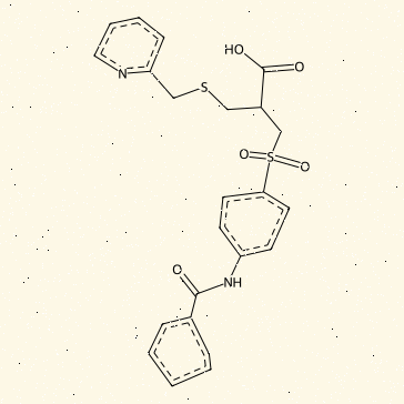 O=C(Nc1ccc(S(=O)(=O)CC(CSCc2ccccn2)C(=O)O)cc1)c1ccccc1